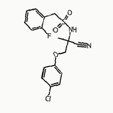 CC(C#N)(COc1ccc(Cl)cc1)NS(=O)(=O)Cc1ccccc1F